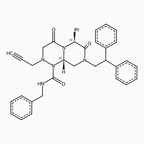 C#CCN1CC(=O)N2[C@@H](C(C)C)C(=O)N(CC(c3ccccc3)c3ccccc3)C[C@@H]2N1C(=O)NCc1ccccc1